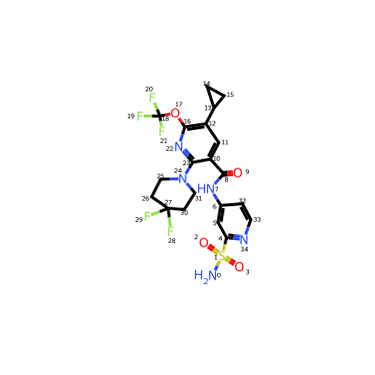 NS(=O)(=O)c1cc(NC(=O)c2cc(C3CC3)c(OC(F)(F)F)nc2N2CCC(F)(F)CC2)ccn1